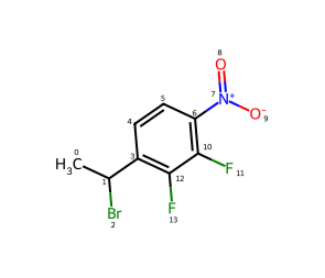 CC(Br)c1ccc([N+](=O)[O-])c(F)c1F